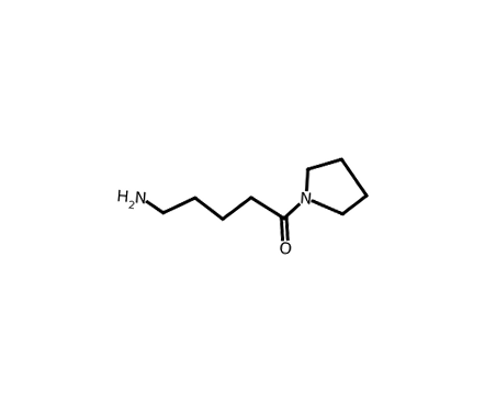 NCCCCC(=O)N1CCCC1